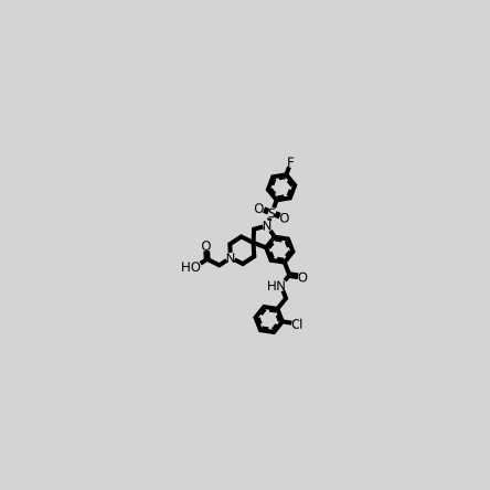 O=C(O)CN1CCC2(CC1)CN(S(=O)(=O)c1ccc(F)cc1)c1ccc(C(=O)NCc3ccccc3Cl)cc12